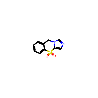 O=S1(=O)C2=CN=C[N+]2Cc2ccccc21